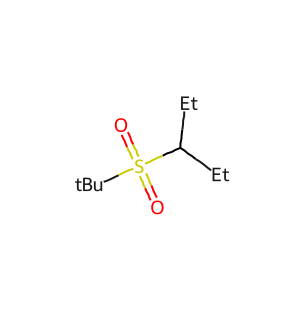 CCC(CC)S(=O)(=O)C(C)(C)C